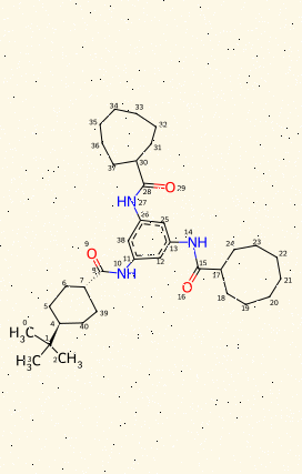 CC(C)(C)[C@H]1CC[C@H](C(=O)Nc2cc(NC(=O)C3CCCCCCC3)cc(NC(=O)C3CCCCCCC3)c2)CC1